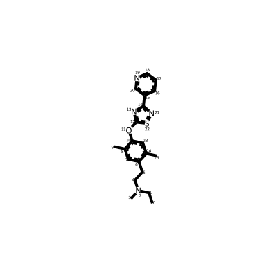 CCN(C)CCc1cc(C)c(Oc2nc(-c3cccnc3)ns2)cc1C